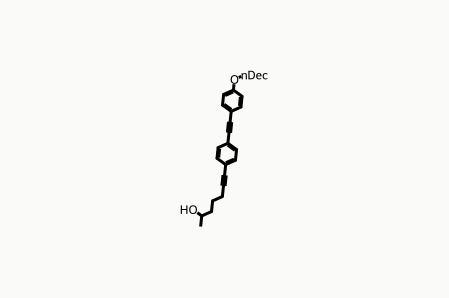 CCCCCCCCCCOc1ccc(C#Cc2ccc(C#CCCCC(C)O)cc2)cc1